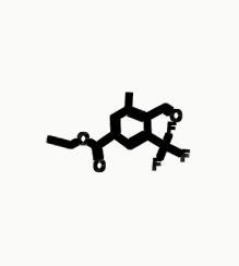 CCOC(=O)c1cc(C)c(C=O)c(C(F)(F)F)c1